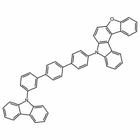 c1cc(-c2ccc(-c3ccc(-n4c5ccccc5c5c6c(ccc54)oc4ccccc46)cc3)cc2)cc(-n2c3ccccc3c3ccccc32)c1